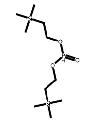 C[Si](C)(C)CCO[PH](=O)OCC[Si](C)(C)C